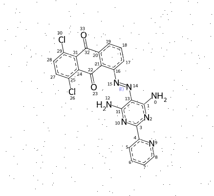 Nc1nc(-c2ccccn2)nc(N)c1/N=N/c1cccc2c1C(=O)c1c(Cl)ccc(Cl)c1C2=O